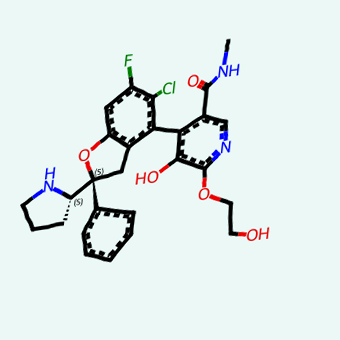 CNC(=O)c1cnc(OCCO)c(O)c1-c1c(Cl)c(F)cc2c1C[C@](c1ccccc1)([C@@H]1CCCN1)O2